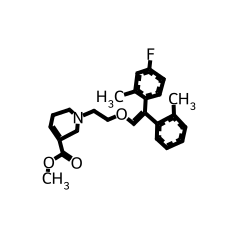 COC(=O)C1=CCCN(CCOC=C(c2ccccc2C)c2ccc(F)cc2C)C1